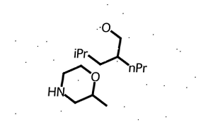 CC1CNCCO1.CCCC(C[O])CC(C)C